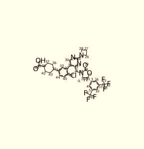 C[C@H]1[C@@H](c2cc(C(F)(F)F)cc(C(F)(F)F)c2)OC(=O)N1Cc1nc(N2CCC2)ncc1-c1cc(C2CCC(C(=O)O)CC2)ccc1Cl